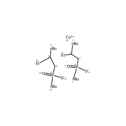 CCCCC(CC)CP(=O)([O-])CCCC.CCCCC(CC)CP(=O)([O-])CCCC.[Co+2]